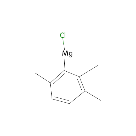 Cc1ccc(C)[c]([Mg][Cl])c1C